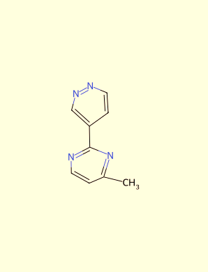 Cc1ccnc(-c2ccnnc2)n1